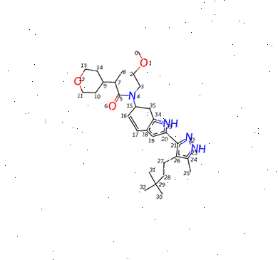 COCCN(C(=O)C(C)C1CCOCC1)C1C=Cc2cc(-c3n[nH]c(C)c3CCC(C)(C)C)[nH]c2C1